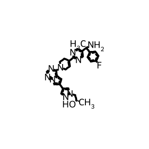 C[C@@H](O)Cn1cc(-c2cc3c(N4CC=C(c5ncc([C@@](C)(N)c6ccc(F)cc6)cn5)CC4)ncnn3c2)cn1